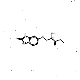 COC(=O)[C@@H](N)COc1ccc2[nH]c(=O)[nH]c2c1